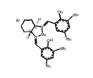 CC(C)(C)c1cc(C=[N+]2[Mn][N+](=Cc3cc(C(C)(C)C)cc(C(C)(C)C)c3O)[C@@H]3CCCC[C@H]32)c(O)c(C(C)(C)C)c1.[Br-]